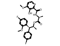 COc1cc(F)ccc1[C@H](c1ccc(F)cc1)[C@H](C)OC(=O)[C@H](C)NC(=O)c1nccc(OC)c1O